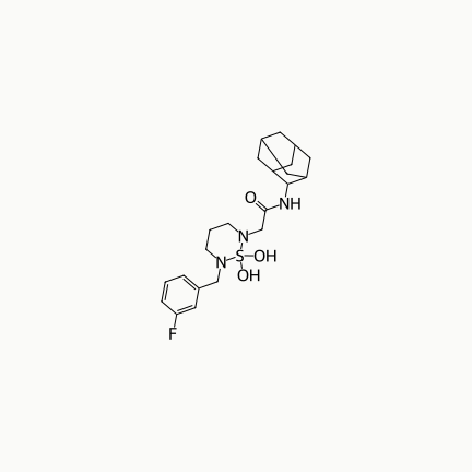 O=C(CN1CCCN(Cc2cccc(F)c2)S1(O)O)NC1C2CC3CC(C2)CC1C3